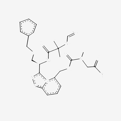 CN(CC(N)=O)C(=O)OCc1cccc2nnc([C@@H](COCc3ccccc3)NC(=O)C(C)(C)NC=O)n12